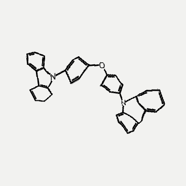 C1=Cc2c(n(-c3ccc(Oc4ccc(-n5c6ccccc6c6ccccc65)cc4)cc3)c3ccccc23)CC1